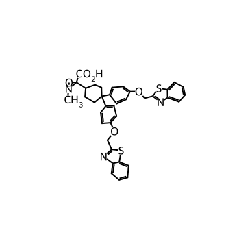 CN1OC1(C(=O)O)C1CCC(c2ccc(OCc3nc4ccccc4s3)cc2)(c2ccc(OCc3nc4ccccc4s3)cc2)CC1